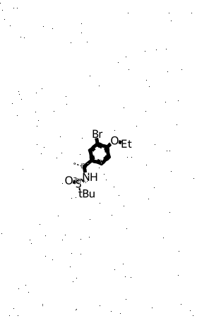 CCOc1ccc([C@@H](C)N[S@@+]([O-])C(C)(C)C)cc1Br